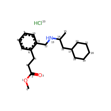 COC(=O)CCc1ccccc1CNC(C)CC1CCCCC1.Cl